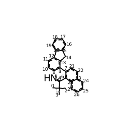 CC(C)(C)C(=N)c1c(-c2cccc3c2Cc2ccccc2-3)ccc2ccccc12